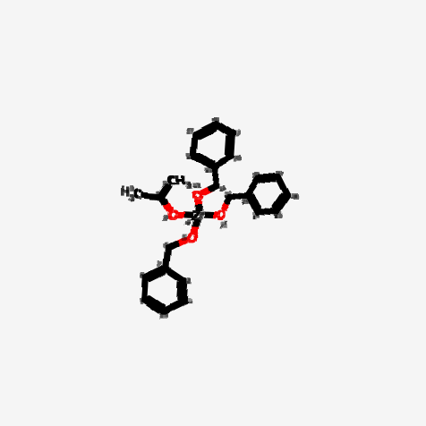 CC(C)[O][Zr]([O]Cc1ccccc1)([O]Cc1ccccc1)[O]Cc1ccccc1